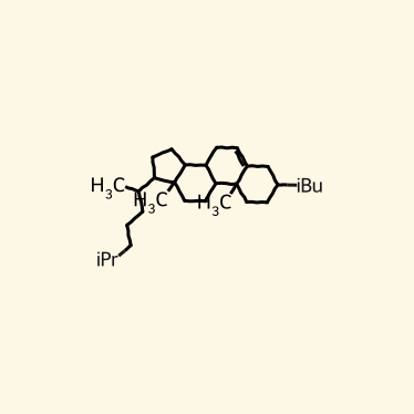 CCC(C)C1CCC2(C)C(=CCC3C2CCC2(C)C(C(C)CCCC(C)C)CCC32)C1